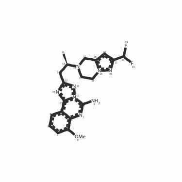 COc1cccc2c1nc(N)n1nc(C[C@@H](C)N3CCn4nc(C(F)F)cc4C3)nc21